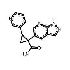 NC(=O)C1(c2cnc3[nH]ncc3c2)CC1c1cccnc1